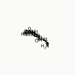 CCC[C@@]1(O)C(=O)OCc2c1cc1n(c2=O)Cc2c-1nc1ccc(Oc3nc(Cl)nc(NCCSSC(C)(C)CN)n3)cc1c2CC